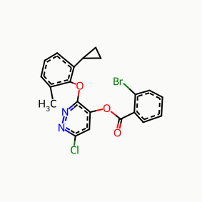 Cc1cccc(C2CC2)c1Oc1nnc(Cl)cc1OC(=O)c1ccccc1Br